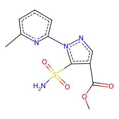 COC(=O)c1cnn(-c2cccc(C)n2)c1S(N)(=O)=O